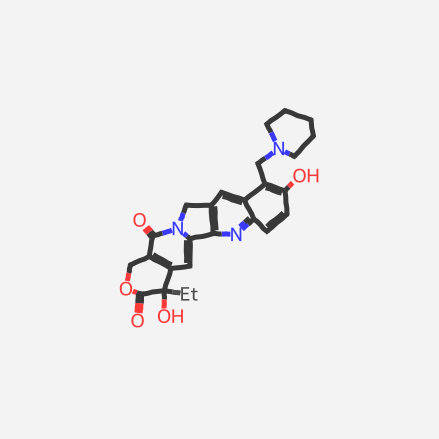 CCC1(O)C(=O)OCc2c1cc1n(c2=O)Cc2cc3c(CN4CCCCC4)c(O)ccc3nc2-1